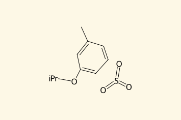 Cc1cccc(OC(C)C)c1.O=S(=O)=O